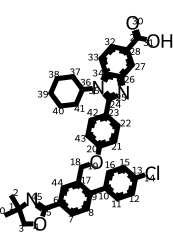 CC1(C)COC(c2ccc(-c3ccc(Cl)cc3)c(COc3ccc(-c4nc5cc(C(=O)O)ccc5n4C4CCCCC4)cc3)c2)=N1